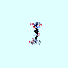 C[C@@H](O)[C@H](NC(=O)c1ccc(C(=O)NCCCN(C(=O)O)C(C)(C)C)cc1)C(=O)NO